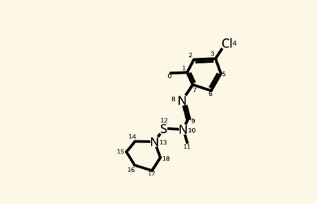 Cc1cc(Cl)ccc1N=CN(C)SN1CCCCC1